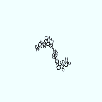 CC(C)(O)c1cc2nn(CCN3CCN(CC(=O)N4CCN(c5cccc6c5C(=O)N(C5CCC(=O)NC5=O)C6=O)CC4)C3=O)cc2cc1NC(=O)c1cccc(C(F)(F)F)n1